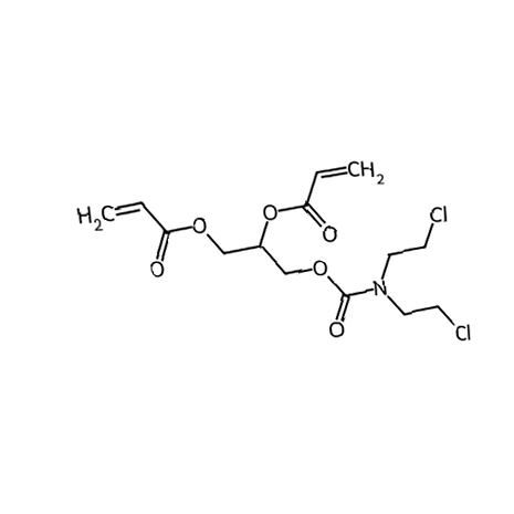 C=CC(=O)OCC(COC(=O)N(CCCl)CCCl)OC(=O)C=C